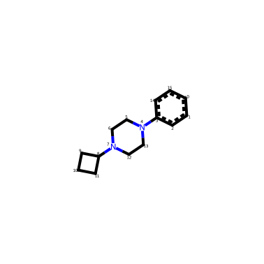 [c]1ccc(N2CCN(C3CCC3)CC2)cc1